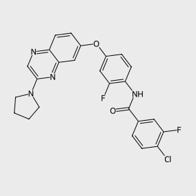 O=C(Nc1ccc(Oc2ccc3ncc(N4CCCC4)nc3c2)cc1F)c1ccc(Cl)c(F)c1